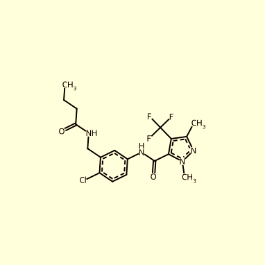 CCCC(=O)NCc1cc(NC(=O)c2c(C(F)(F)F)c(C)nn2C)ccc1Cl